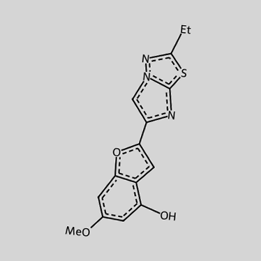 CCc1nn2cc(-c3cc4c(O)cc(OC)cc4o3)nc2s1